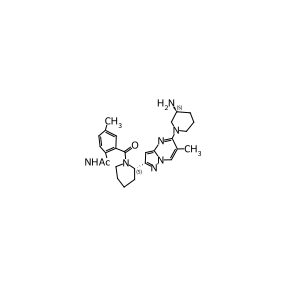 CC(=O)Nc1ccc(C)cc1C(=O)N1CCCC[C@H]1c1cc2nc(N3CCC[C@H](N)C3)c(C)cn2n1